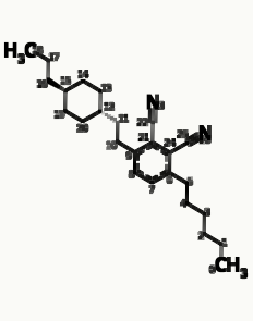 CCCCCCc1ccc(CC[C@H]2CC[C@H](CCC)CC2)c(C#N)c1C#N